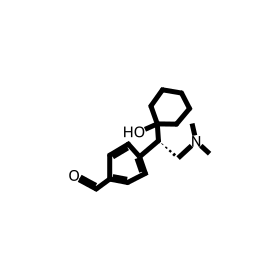 CN(C)C[C@H](c1ccc(C=O)cc1)C1(O)CCCCC1